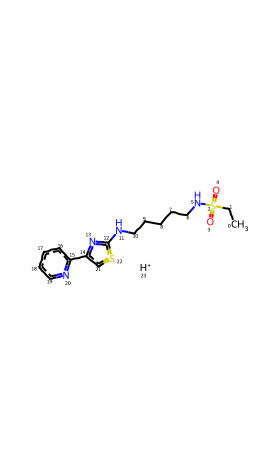 CCS(=O)(=O)NCCCCCNc1nc(-c2ccccn2)cs1.[H+]